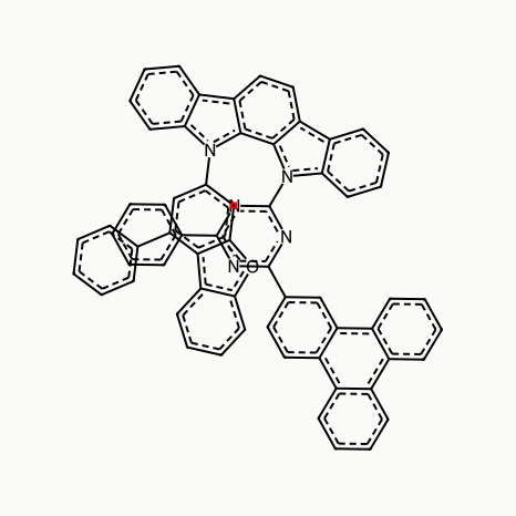 c1ccc(-c2nc(-c3ccc4c5ccccc5c5ccccc5c4c3)nc(-n3c4ccccc4c4ccc5c6ccccc6n(-c6cc(-c7ccccc7)c7c(c6)oc6ccccc67)c5c43)n2)cc1